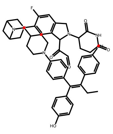 CCC(=C(c1ccc(O)cc1)c1ccc(N2CCC(CN3C4CC3CN(c3cc5c(cc3F)CN(C3CCC(=O)NC3=O)C5C(=O)C=O)C4)CC2)cc1)c1ccc(O)cc1